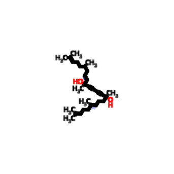 CC(C)=CCC/C(C)=C/CCC(C)(O)C#CC#CC(C)(O)/C=C/CC(C)CCC=C(C)C